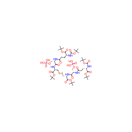 CC(C)(C)OC(=O)N[C@@H](CCC(=O)N[C@@H](COP(=O)(O)O)C(=O)N[C@@H](CSSC[C@H](NC(=O)[C@H](COP(=O)(O)O)NC(=O)CC[C@H](NC(=O)OC(C)(C)C)C(=O)OC(C)(C)C)C(=O)OC(C)(C)C)C(=O)OC(C)(C)C)C(=O)OC(C)(C)C